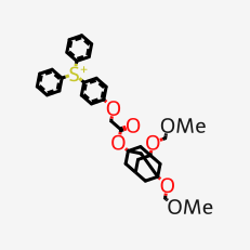 COCOC12CC3CC(OCOC)(C1)CC(OC(=O)COc1ccc([S+](c4ccccc4)c4ccccc4)cc1)(C3)C2